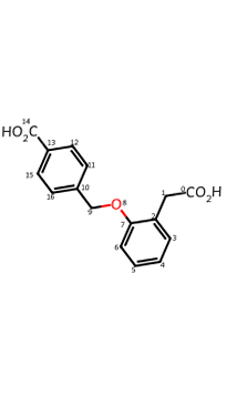 O=C(O)Cc1ccccc1OCc1ccc(C(=O)O)cc1